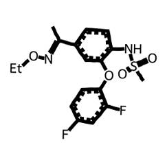 CCON=C(C)c1ccc(NS(C)(=O)=O)c(Oc2ccc(F)cc2F)c1